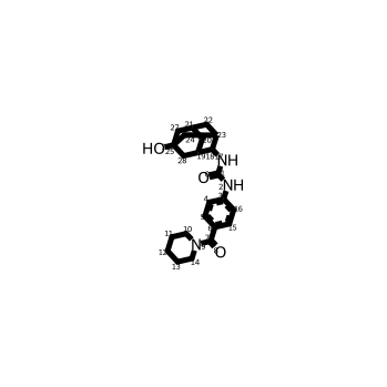 O=C(Nc1ccc(C(=O)N2CCCCC2)cc1)NC1C2CC3CC1CC(O)(C3)C2